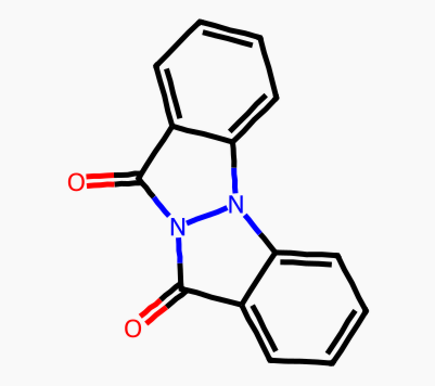 O=c1c2ccccc2n2c3ccccc3c(=O)n12